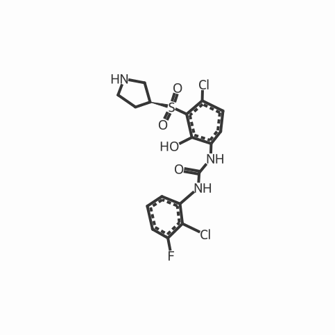 O=C(Nc1ccc(Cl)c(S(=O)(=O)[C@H]2CCNC2)c1O)Nc1cccc(F)c1Cl